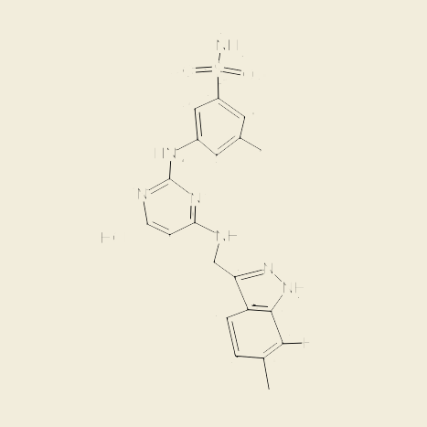 Cc1cc(Nc2nccc(NCc3n[nH]c4c(F)c(C)ccc34)n2)cc(S(N)(=O)=O)c1.Cl